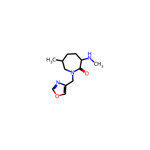 CNC1CCC(C)CN(Cc2cocn2)C1=O